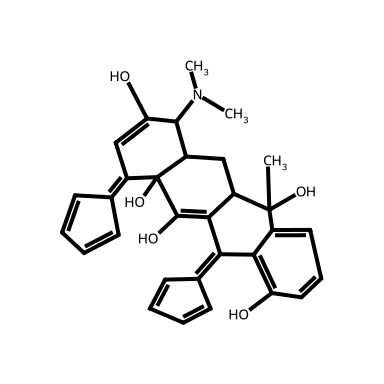 CN(C)C1C(O)=CC(=C2C=CC=C2)C2(O)C(O)=C3C(=C4C=CC=C4)c4c(O)cccc4C(C)(O)C3CC12